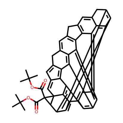 CC(C)(C)OC(=O)C1(C(=O)OC(C)(C)C)C2c3cc4c5c3c3c6c7c8c(cc9c8c8c%10c(cc%11c%12c%13c(cc(c%14c5c5c3c7c8c(c%12%10)c5c%13%14)C4)C%11)C9)=CC621